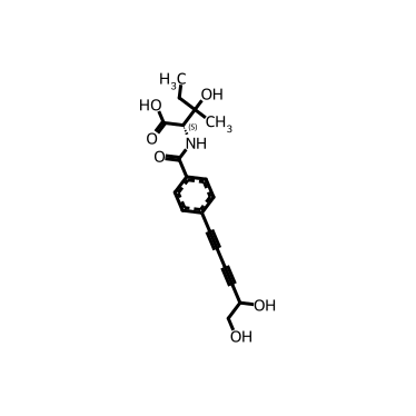 CCC(C)(O)[C@H](NC(=O)c1ccc(C#CC#CC(O)CO)cc1)C(=O)O